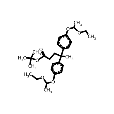 CCOC(C)Oc1ccc(C(C)(CCC(=O)OC(C)(C)C)c2ccc(OC(C)OCC)cc2)cc1